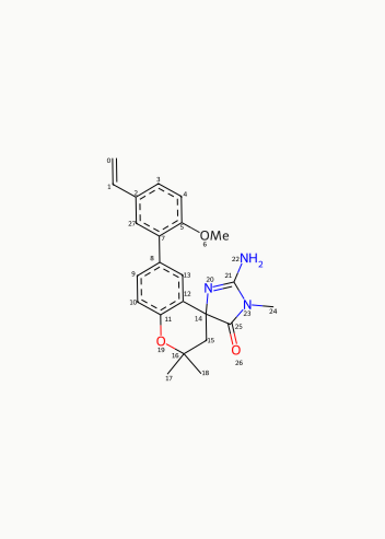 C=Cc1ccc(OC)c(-c2ccc3c(c2)C2(CC(C)(C)O3)N=C(N)N(C)C2=O)c1